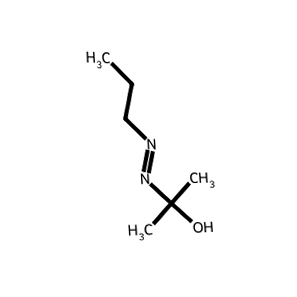 CCCN=NC(C)(C)O